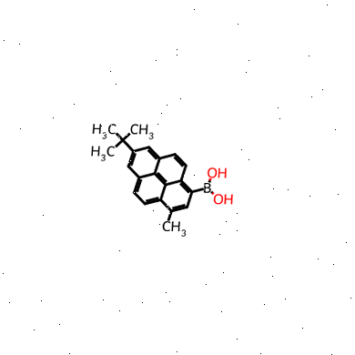 Cc1cc(B(O)O)c2ccc3cc(C(C)(C)C)cc4ccc1c2c43